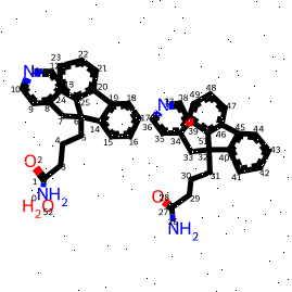 NC(=O)CCCC1(Cc2ccncc2)c2ccccc2-c2ccccc21.NC(=O)CCCC1(Cc2ccncc2)c2ccccc2-c2ccccc21.O